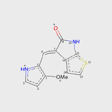 COc1cc[nH]c1C=C1C(=O)Nc2sccc21